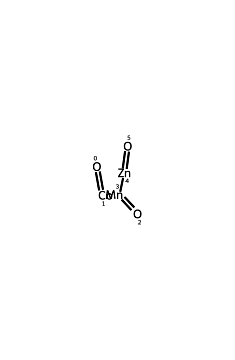 [O]=[Co].[O]=[Mn][Zn]=[O]